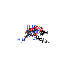 CCCCc1ccc(-c2ccc(C(=O)NCCC(=O)N[C@@H](CCCCN)C(=O)N[C@H](C(=O)N[C@@H](C)C(=O)N[C@@H](CC(N)=O)C(=O)N[C@@H](CC)B3OC4C[C@@H]5C[C@@H](C5(C)C)[C@]4(C)O3)C(C)O)cc2)cc1